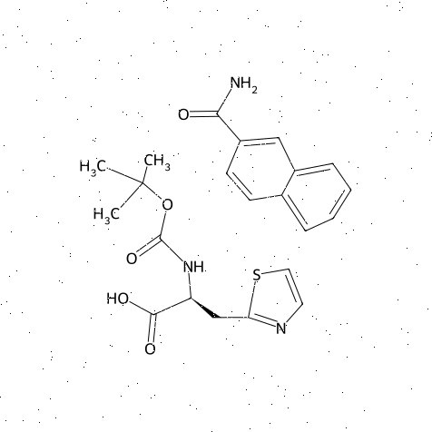 CC(C)(C)OC(=O)N[C@@H](Cc1nccs1)C(=O)O.NC(=O)c1ccc2ccccc2c1